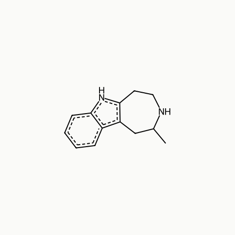 CC1Cc2c([nH]c3ccccc23)CCN1